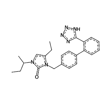 CCc1cn(C(C)CC)c(=O)n1Cc1ccc(-c2ccccc2-c2nnn[nH]2)cc1